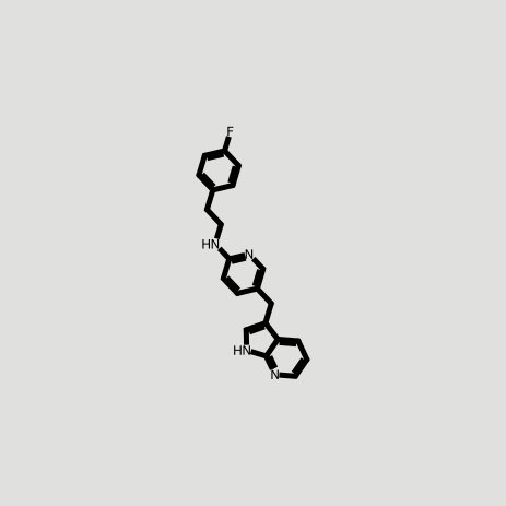 Fc1ccc(CCNc2ccc(Cc3c[nH]c4ncccc34)cn2)cc1